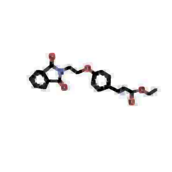 CCOC(=O)/C=C/c1ccc(OCCN2C(=O)c3ccccc3C2=O)cc1